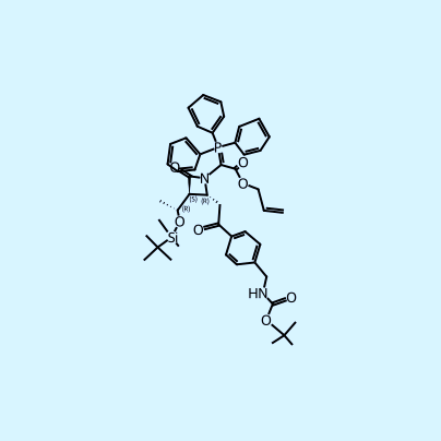 C=CCOC(=O)C(N1C(=O)[C@H]([C@@H](C)O[Si](C)(C)C(C)(C)C)[C@H]1CC(=O)c1ccc(CNC(=O)OC(C)(C)C)cc1)=P(c1ccccc1)(c1ccccc1)c1ccccc1